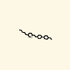 CCCCCC1CCC(CCC2CCC(C3CCC(CC)CC3)CC2)OC1